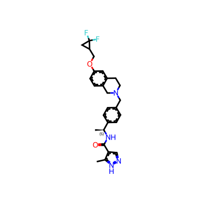 Cc1[nH]ncc1C(=O)N[C@@H](C)c1ccc(CN2CCc3cc(OCC4CC4(F)F)ccc3C2)cc1